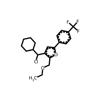 CCOCc1oc(-c2ccc(C(F)(F)F)cc2)cc1C(Cl)C1CCCCC1